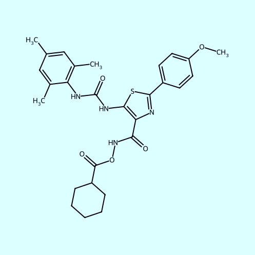 COc1ccc(-c2nc(C(=O)NOC(=O)C3CCCCC3)c(NC(=O)Nc3c(C)cc(C)cc3C)s2)cc1